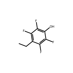 CCc1c(F)c(F)c(O)c(F)c1F